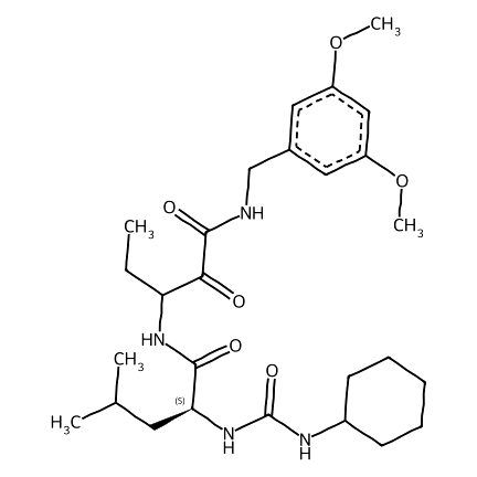 CCC(NC(=O)[C@H](CC(C)C)NC(=O)NC1CCCCC1)C(=O)C(=O)NCc1cc(OC)cc(OC)c1